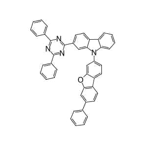 c1ccc(-c2ccc3c(c2)oc2cc(-n4c5ccccc5c5ccc(-c6nc(-c7ccccc7)nc(-c7ccccc7)n6)cc54)ccc23)cc1